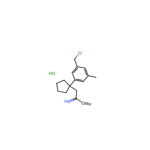 COC(=N)CC1(c2cc(C)cc(CCl)c2)CCCC1.Cl